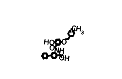 CN1CCC(CCOc2ccc(O)c(C(=O)Nc3cc(-c4ccccc4)ccc3C(=O)O)c2)CC1